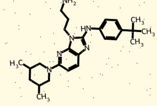 CC1CC(C)CN(c2ccc3nc(Nc4ccc(C(C)(C)C)cc4)n(CCCN)c3n2)C1